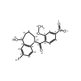 COc1cc([N+](=O)[O-])ccc1C(=O)N1CCCC(O)c2cc(F)ccc21